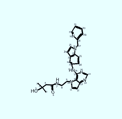 CC(C)(O)CC(=O)NCCn1ccc2ncnc(Nc3ccc4c(ccn4Cc4ccccn4)c3)c21